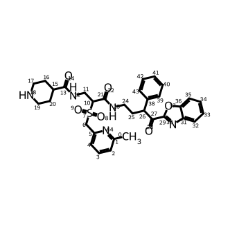 Cc1cccc(CS(=O)(=O)C(CNC(=O)C2CCNCC2)C(=O)NCCC(C(=O)c2nc3ccccc3o2)c2ccccc2)n1